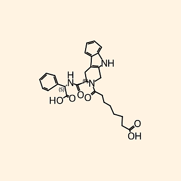 O=C(O)CCCCCCC(=O)N1Cc2[nH]c3ccccc3c2C[C@@H]1C(=O)N[C@H](C(=O)O)c1ccccc1